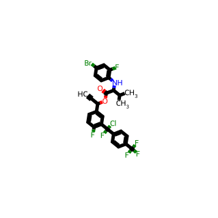 C#CC(OC(=O)C(Nc1ccc(Br)cc1F)C(C)C)c1ccc(F)c(C(F)(Cl)c2ccc(C(F)(F)F)cc2)c1